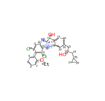 CCOc1ccccc1-c1c(Cl)cc2nc(C(O)c3ccc(CC(O)CC4CC4)cc3)[nH]c2c1Cl